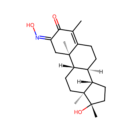 CC1=C2CC[C@@H]3[C@H](CC[C@@]4(C)[C@H]3CC[C@]4(C)O)[C@@]2(C)C/C(=N/O)C1=O